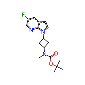 CN(C(=O)OC(C)(C)C)C1CC(n2ccc3cc(F)cnc32)C1